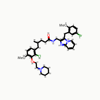 COc1ccc(Br)cc1Cc1c(C[N]C(=O)CCC(C)Cc2ccc(OC)c(OCCN3CCCCC3)c2Cl)nc2ccccn12